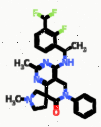 Cc1nc(N[C@H](C)c2cccc(C(F)F)c2F)c2c(n1)C1(CCN(C)C1)C(=O)N(c1ccccc1)C2